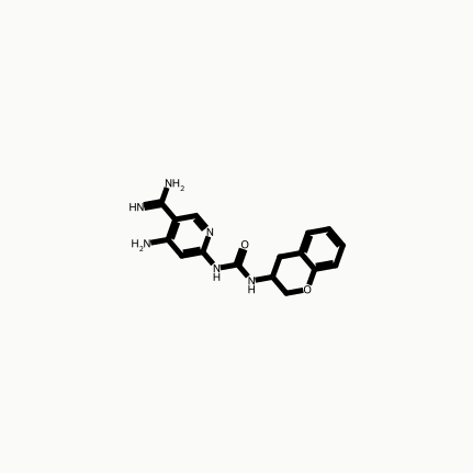 N=C(N)c1cnc(NC(=O)NC2COc3ccccc3C2)cc1N